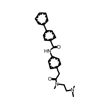 CN(C)CCN(C)C(=O)Cc1ccc(NC(=O)c2ccc(-c3ccccc3)cc2)cc1